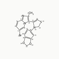 Cc1nc2ccc(Br)cn2c1C1=CSCN1c1ccc2c(c1)OCO2